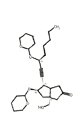 CCCCC[C@@H](C#C[C@@H]1C2CC(=O)C[C@@]2(CO)C[C@H]1OC1CCCCO1)OC1CCCCO1